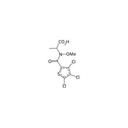 CON(C(=O)c1sc(Cl)c(Cl)c1Cl)C(C)C(=O)O